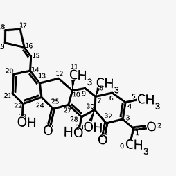 CC(=O)C1=C(C)C[C@@]2(C)C[C@@]3(C)Cc4c(C=C5CCC5)ccc(O)c4C(=O)C3=C(O)[C@@]2(O)C1=O